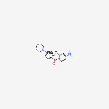 CN(C)c1ccc(C(=O)c2ccc(N3CCCCC3)cc2)c(C(=O)O)c1